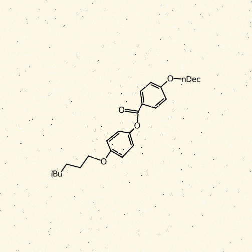 CCCCCCCCCCOc1ccc(C(=O)Oc2ccc(OCCCC(C)CC)cc2)cc1